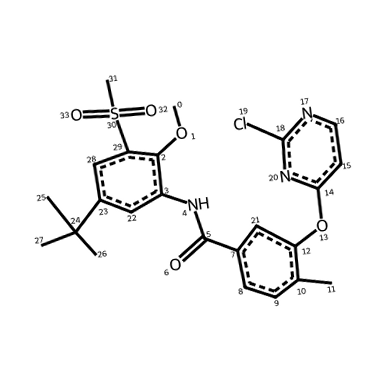 COc1c(NC(=O)c2ccc(C)c(Oc3ccnc(Cl)n3)c2)cc(C(C)(C)C)cc1S(C)(=O)=O